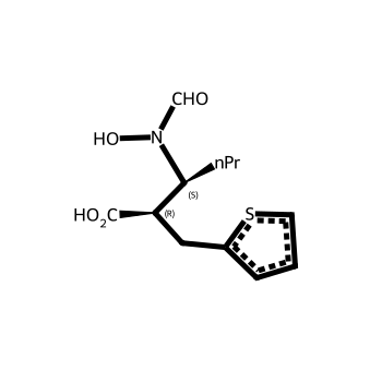 CCC[C@@H]([C@@H](Cc1cccs1)C(=O)O)N(O)C=O